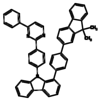 CC1(C)c2ccccc2-c2ccc(-c3ccc(-c4cccc5c6ccccc6n(-c6ccc(-c7nccc(-c8ccccc8)n7)cc6)c45)cc3)cc21